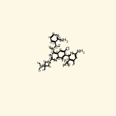 Cc1cc(N)nc(-c2c(Cl)cc3c(N(C)[C@H](C)c4cccnc4N)nc(N4CC(C)(N(C)C)C4)nc3c2F)c1C(F)(F)F